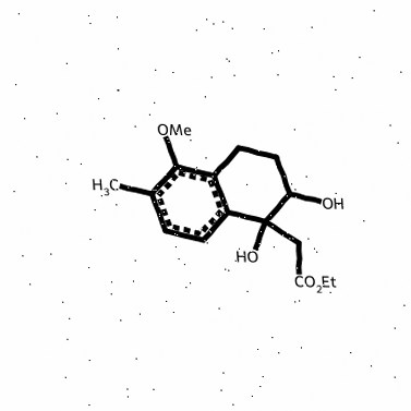 CCOC(=O)CC1(O)c2ccc(C)c(OC)c2CCC1O